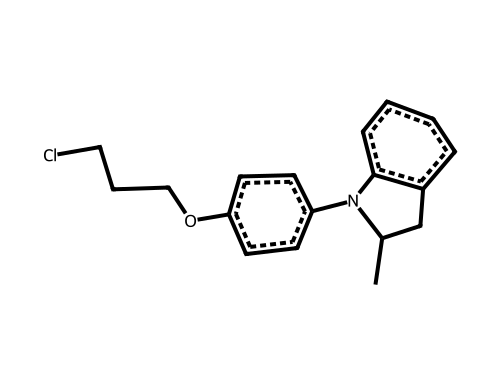 CC1Cc2ccccc2N1c1ccc(OCCCCl)cc1